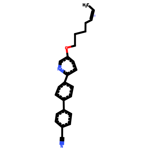 C/C=C\CCCCOc1ccc(-c2ccc(-c3ccc(C#N)cc3)cc2)nc1